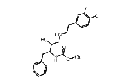 CC(C)(C)OC(=O)N[C@@H](Cc1ccccc1)[C@@H](O)CNCCc1ccc(Cl)c(Cl)c1